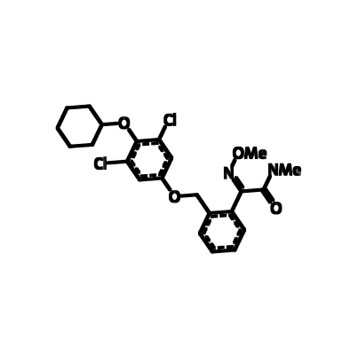 CNC(=O)C(=NOC)c1ccccc1COc1cc(Cl)c(OC2CCCCC2)c(Cl)c1